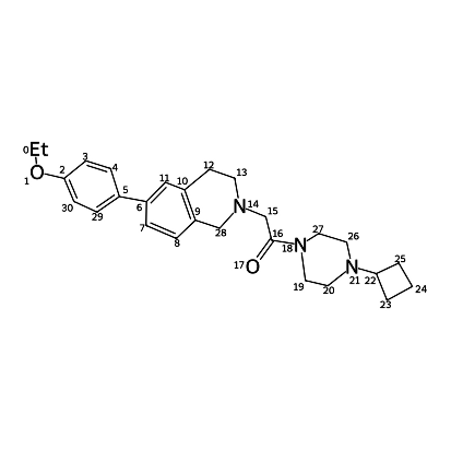 CCOc1ccc(-c2ccc3c(c2)CCN(CC(=O)N2CCN(C4CCC4)CC2)C3)cc1